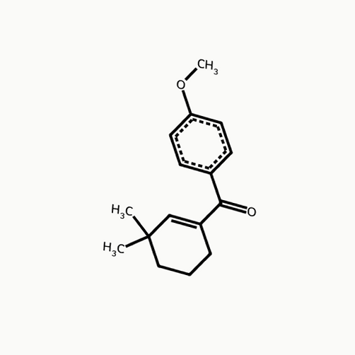 COc1ccc(C(=O)C2=CC(C)(C)CCC2)cc1